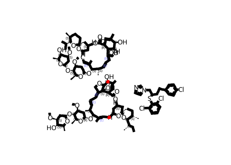 CC[C@H](C)[C@H]1O[C@]2(CC[C@@H]1C)C[C@@H]1C[C@@H](C/C=C(\C)[C@@H](O[C@H]3C[C@H](OC)[C@@H](O[C@H]4C[C@H](OC)[C@@H](O)[C@H](C)O4)[C@H](C)O3)[C@@H](C)/C=C/C=C3\CO[C@@H]4[C@H](O)C(C)=C[C@@H](C(=O)O1)[C@]34O)O2.CO[C@H]1C[C@H](O[C@H]2[C@H](C)O[C@@H](O[C@@H]3/C(C)=C/C[C@@H]4C[C@@H](C[C@]5(CC[C@H](C)[C@@H](C(C)C)O5)O4)OC(=O)[C@@H]4C=C(C)[C@@H](O)[C@H]5OC/C(=C\C=C\[C@@H]3C)[C@]54O)C[C@@H]2OC)O[C@@H](C)[C@@H]1O.Clc1ccc(CCC(Cn2ccnc2)Sc2c(Cl)cccc2Cl)cc1